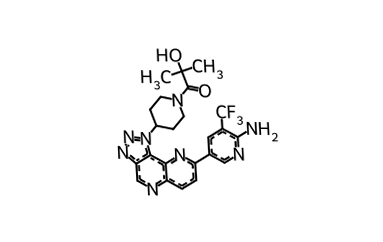 CC(C)(O)C(=O)N1CCC(n2nnc3cnc4ccc(-c5cnc(N)c(C(F)(F)F)c5)nc4c32)CC1